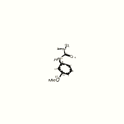 CCN(C)C(=O)Nc1cccc(OC)c1